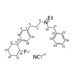 CC#N.CCN(CCCc1ccc(C2CCCCC2F)cc1)CCc1ccccc1